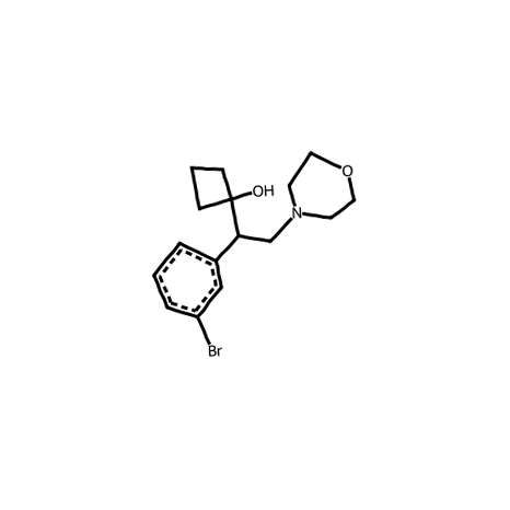 OC1(C(CN2CCOCC2)c2cccc(Br)c2)CCC1